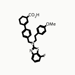 COc1ccc(CCN(Cc2ccc(C3=CC(C(=O)O)CCC3)cc2)c2nc3cccc(F)c3s2)cc1